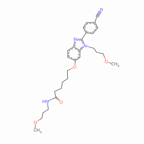 COCCCNC(=O)CCCCCOc1ccc2nc(-c3ccc(C#N)cc3)n(CCCOC)c2c1